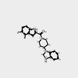 Cc1c(F)ccc2[nH]c(C(=O)N3CCC(N4[CH]Nc5ccccc54)CC3)cc12